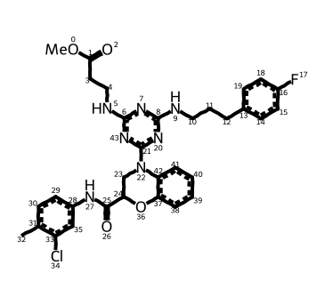 COC(=O)CCNc1nc(NCCCc2ccc(F)cc2)nc(N2CC(C(=O)Nc3ccc(C)c(Cl)c3)Oc3ccccc32)n1